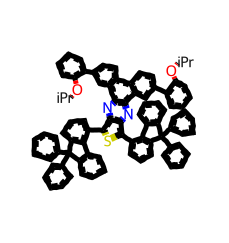 CC(C)Oc1ccccc1-c1ccc2c3ccc(-c4ccccc4OC(C)C)cc3c3nc4c(-c5cccc6c5-c5ccccc5C6(c5ccccc5)c5ccccc5)sc(-c5cccc6c5-c5ccccc5C6(c5ccccc5)c5ccccc5)c4nc3c2c1